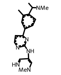 CN/C=C(\C=N)Nc1nccc(-c2ccc(C(C)NC)c(C)c2)n1